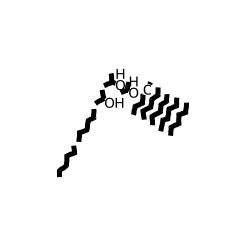 CC(C)O.CC(C)O.CC(C)O.CCCCCC.CCCCCC.CCCCCC.CCCCCC.CCCCCC.CCCCCC.CCCCCC